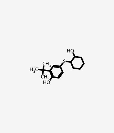 CC(C)(C)c1cc(SC2CCCCC2O)ccc1O